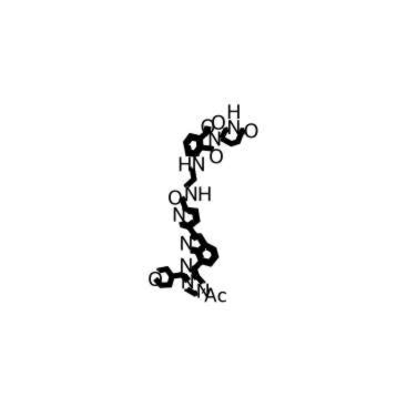 CC(=O)N1CCn2c(C3CCOCC3)nc(-c3cccc4cc(-c5ccc(C(=O)NCCCNc6cccc7c6C(=O)N(C6CCC(=O)NC6=O)C7=O)nc5)ncc34)c2C1